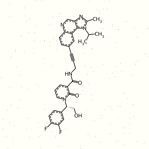 Cc1nc2cnc3ccc(C#CCNC(=O)c4cccn([C@H](CO)c5ccc(F)c(F)c5)c4=O)cc3c2n1C(C)C